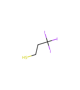 SCCC(I)(I)I